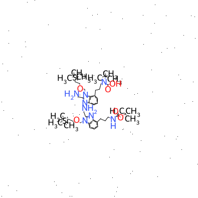 CC(C)(C)N(CCCc1cccc2nc(CN)n(COCC[Si](C)(C)C)c12)C(=O)O.CC(C)(C)OC(=O)NCCCc1cccc2c1nc(CN)n2COCC[Si](C)(C)C